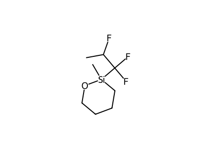 CC(F)C(F)(F)[Si]1(C)CCCCO1